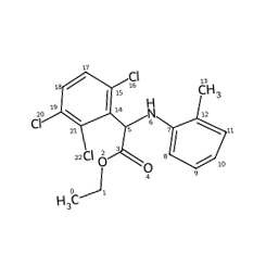 CCOC(=O)C(Nc1ccccc1C)c1c(Cl)ccc(Cl)c1Cl